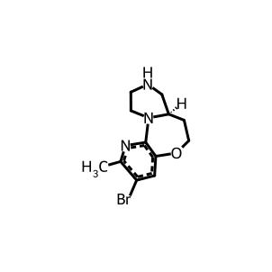 Cc1nc2c(cc1Br)OCC[C@@H]1CNCCN21